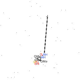 CC#CC#CC#CC#CC#CC#CC#CC#CC#CC#CNC(=O)N[C@H]1C[C@H](COC)C(OP(O)(=S)OC)[C@@H]1OC